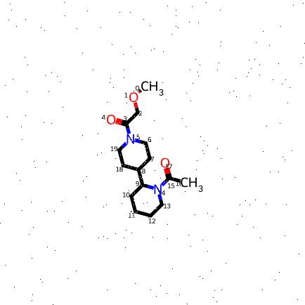 COCC(=O)N1CCC(C2C[CH]CCN2C(C)=O)CC1